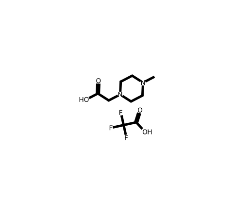 CN1CCN(CC(=O)O)CC1.O=C(O)C(F)(F)F